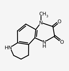 Cn1c(=O)c(=O)[nH]c2c3c(ccc21)NCCC3